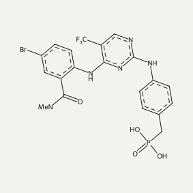 CNC(=O)c1cc(Br)ccc1Nc1nc(Nc2ccc(CP(=O)(O)O)cc2)ncc1C(F)(F)F